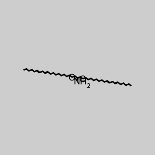 CCCCCC=CCC=CCCCCCCCCOCC(N)COCCCCCCCCC=CCC=CCCCCC